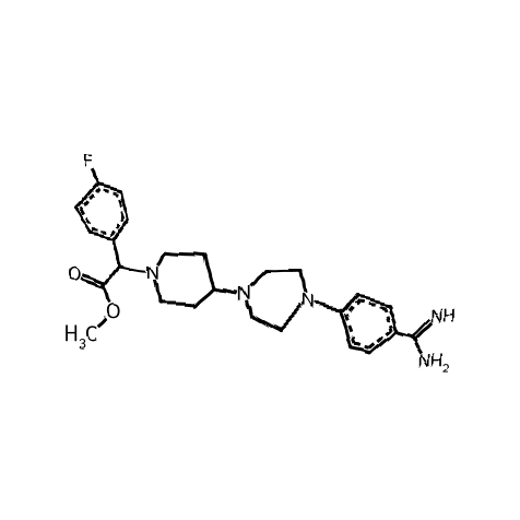 COC(=O)C(c1ccc(F)cc1)N1CCC(N2CCN(c3ccc(C(=N)N)cc3)CC2)CC1